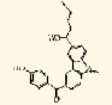 CCCCC(O)c1ccc2c(c1)c1cc(C(=O)c3ccc(O)cc3)ccc1n2C